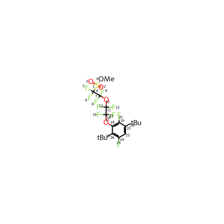 COS(=O)(=O)C(F)(F)C(F)(F)OC(F)(F)C(F)(F)Oc1c(F)c(C(C)(C)C)cc(F)c1C(C)(C)C